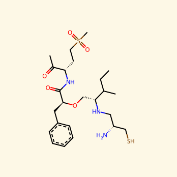 CCC(C)[C@@H](CO[C@@H](Cc1ccccc1)C(=O)N[C@@H](CCS(C)(=O)=O)C(C)=O)NC[C@@H](N)CS